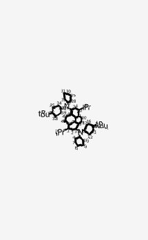 CC(C)c1cc(N(c2ccccc2)c2ccc(C(C)(C)C)cc2)c2ccc3c(C(C)C)cc(N(c4ccccc4)[C@H]4C=CC(C(C)(C)C)=CC4)c4ccc1c2c34